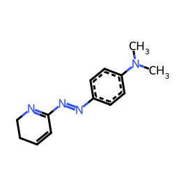 CN(C)c1ccc(/N=N/C2=NCCC=C2)cc1